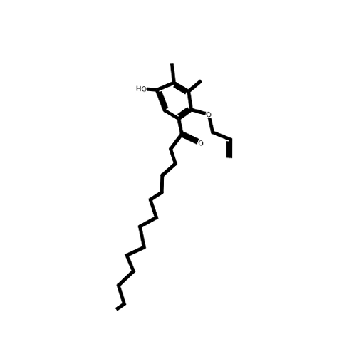 C=CCOc1c(C(=O)CCCCCCCCCCCCC)cc(O)c(C)c1C